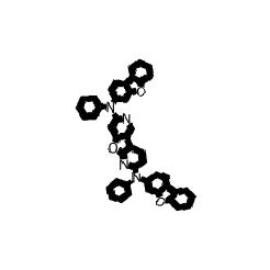 c1ccc(N(c2ccc3c(c2)oc2ccccc23)c2cc3oc4nc(N(c5ccccc5)c5ccc6c(c5)oc5ccccc56)ccc4c3cn2)cc1